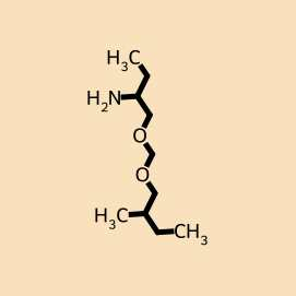 CCC(C)COCOCC(N)CC